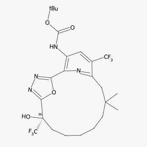 CC1(C)CCCCC[C@](O)(C(F)(F)F)c2nnc(o2)-c2nc(c(C(F)(F)F)cc2NC(=O)OC(C)(C)C)C1